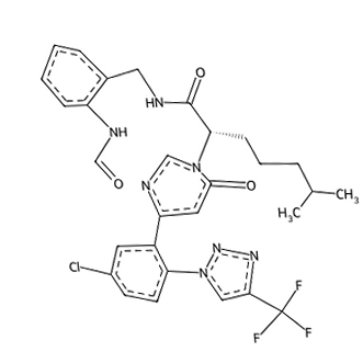 CC(C)CCC[C@@H](C(=O)NCc1ccccc1NC=O)n1cnc(-c2cc(Cl)ccc2-n2cc(C(F)(F)F)nn2)cc1=O